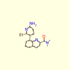 CCc1nc(N)ccc1-c1cccc2ccc(C(=O)N(C)C)nc12